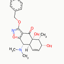 C[C@@H]1[C@H](O)C=C[C@H]2[C@H](N(C)C)c3onc(OCc4ccccc4)c3C(=O)[C@@]12O